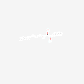 CCCCCCCCOC(=O)C(=O)OC